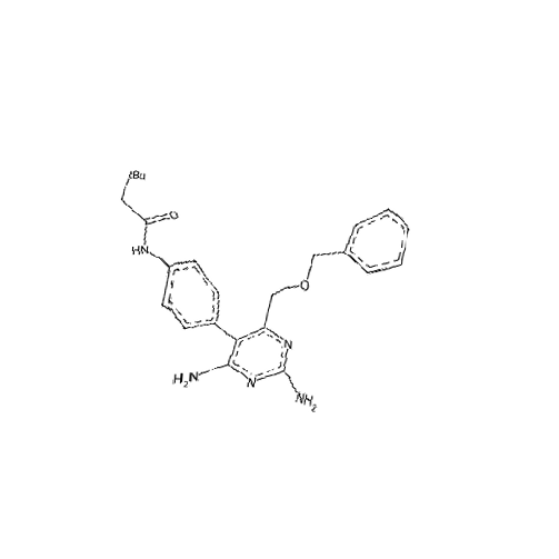 CC(C)(C)CC(=O)Nc1ccc(-c2c(N)nc(N)nc2COCc2ccccc2)cc1